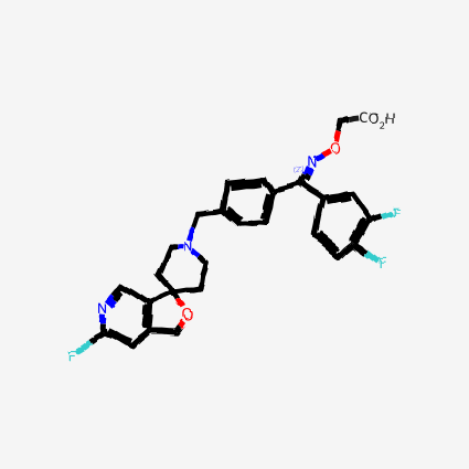 O=C(O)CO/N=C(/c1ccc(CN2CCC3(CC2)OCc2cc(F)ncc23)cc1)c1ccc(F)c(F)c1